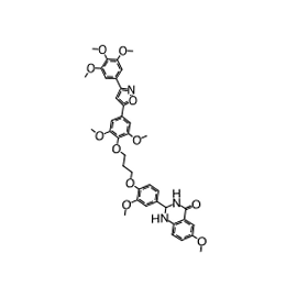 COc1ccc2c(c1)C(=O)NC(c1ccc(OCCCOc3c(OC)cc(-c4cc(-c5cc(OC)c(OC)c(OC)c5)no4)cc3OC)c(OC)c1)N2